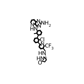 Cc1c(Nc2nc(N)nc3cccnc23)cccc1-c1cccc(-c2ccc(CNC[C@@H]3CCC(=O)N3)c(C(F)(F)F)n2)c1Cl